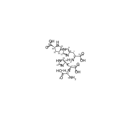 NCC(=O)O.N[C@@H](Cc1c[nH]cn1)C(=O)O.N[C@@H](Cc1c[nH]cn1)C(=O)O.O=C(O)[C@@H]1CCCN1